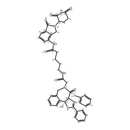 O=C(CN1Cc2ccccc2[C@@H]2OC(c3ccccc3)=N[C@]2(Cc2ccccc2)C1=O)NCCCCC(=O)Nc1cccc2c1CN(C1CCC(=O)NC1=O)C2=O